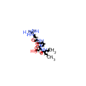 CCCC(CCC)C(=O)N[C@@H](CC(=O)O)C(=O)N1CCC[C@H]1C(=O)N[C@H](C=O)CCCNC(=N)N